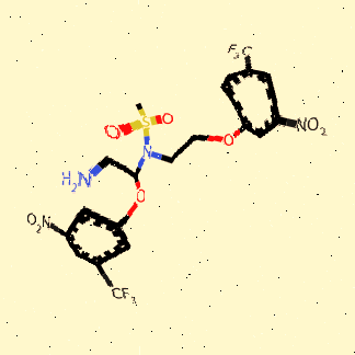 CS(=O)(=O)N(CCOc1cc([N+](=O)[O-])cc(C(F)(F)F)c1)C(CN)Oc1cc([N+](=O)[O-])cc(C(F)(F)F)c1